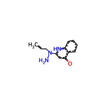 C=CCN(N)c1cc(=O)c2ccccc2[nH]1